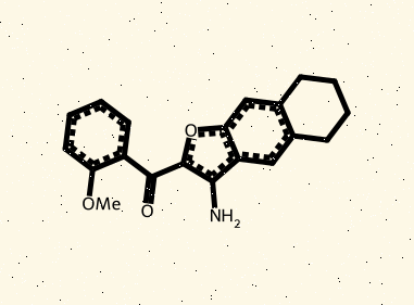 COc1ccccc1C(=O)c1oc2cc3c(cc2c1N)CCCC3